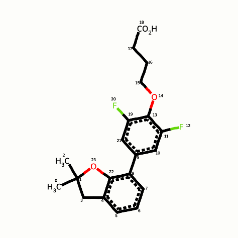 CC1(C)Cc2cccc(-c3cc(F)c(OCCCC(=O)O)c(F)c3)c2O1